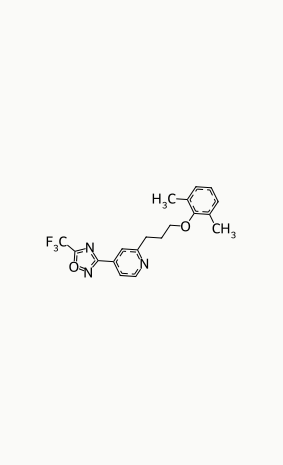 Cc1cccc(C)c1OCCCc1cc(-c2noc(C(F)(F)F)n2)ccn1